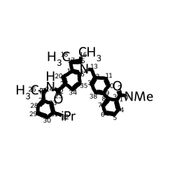 CNC(=O)c1ccccc1-c1ccc(Cn2c(C)c(C)c3cc(C(=O)N[C@@H](C)c4cccc(C(C)C)c4)ccc32)cc1